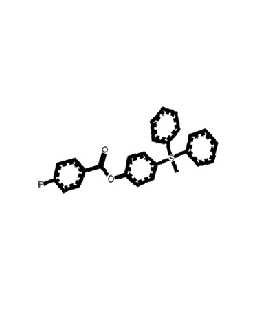 CS(c1ccccc1)(c1ccccc1)c1ccc(OC(=O)c2ccc(F)cc2)cc1